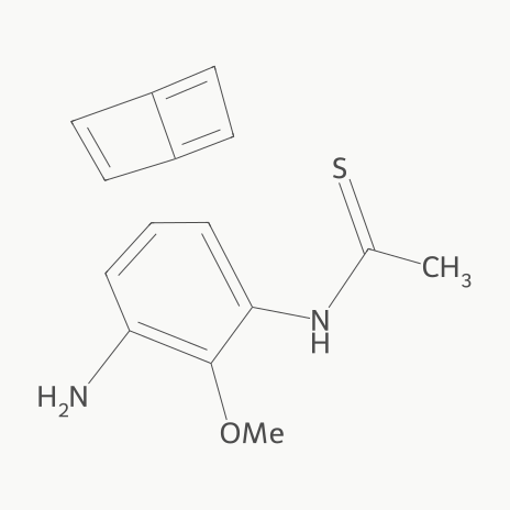 COc1c(N)cccc1NC(C)=S.c1cc2ccc1-2